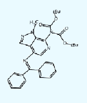 Cn1ncc2c(N=C(c3ccccc3)c3ccccc3)cnc(N(C(=O)OC(C)(C)C)C(=O)OC(C)(C)C)c21